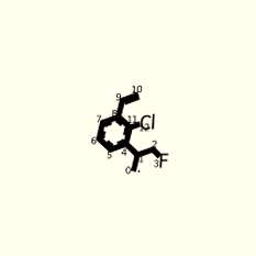 [CH2]C(CF)c1cccc(C=C)c1Cl